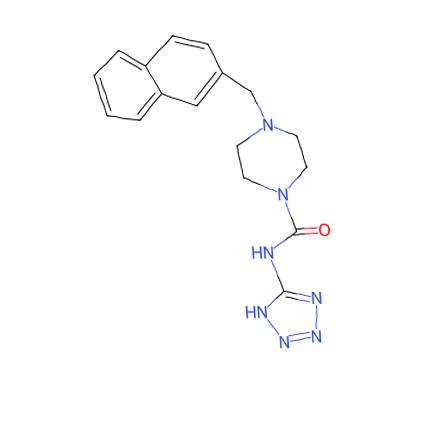 O=C(Nc1nnn[nH]1)N1CCN(Cc2ccc3ccccc3c2)CC1